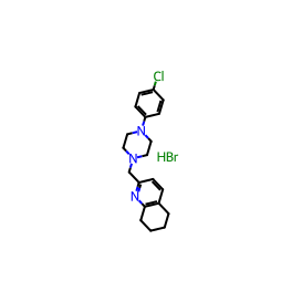 Br.Clc1ccc(N2CCN(Cc3ccc4c(n3)CCCC4)CC2)cc1